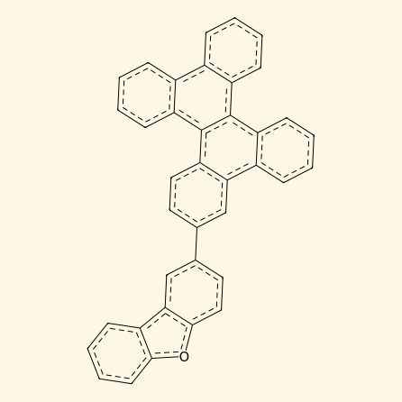 c1ccc2c(c1)oc1ccc(-c3ccc4c(c3)c3ccccc3c3c5ccccc5c5ccccc5c43)cc12